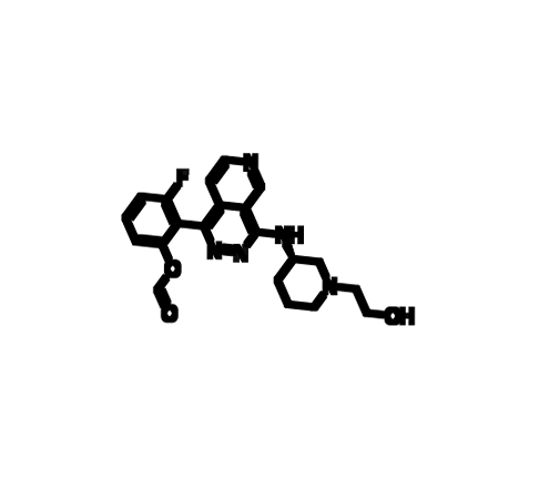 O=COc1cccc(F)c1-c1nnc(N[C@@H]2CCCN(CCO)C2)c2cnccc12